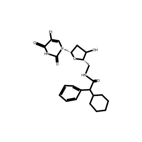 CCc1cn([C@@H]2CC(O)[C@H](CNC(=O)C(c3ccccc3)C3CCCCC3)O2)c(=O)[nH]c1=O